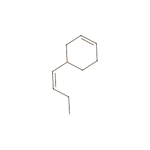 CC/C=C\C1CC=CCC1